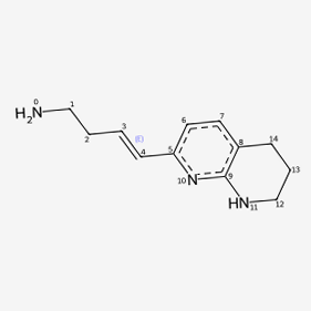 NCC/C=C/c1ccc2c(n1)NCCC2